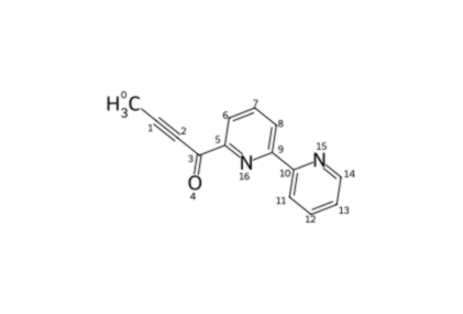 CC#CC(=O)c1cccc(-c2ccccn2)n1